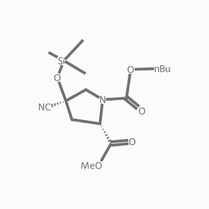 CCCCOC(=O)N1C[C@](C#N)(O[Si](C)(C)C)C[C@H]1C(=O)OC